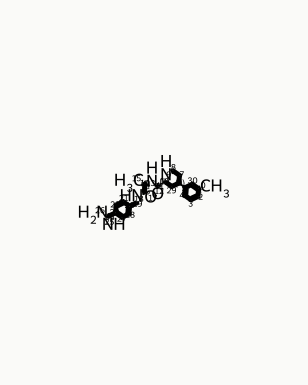 Cc1cccc([C@@H]2CCN[C@@H](C(=O)N[C@@H](C)C(=O)NCc3ccc(C(=N)N)cc3)C2)c1